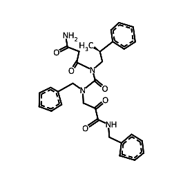 C[C@H](CN(C(=O)CC(N)=O)C(=O)N(CC(=O)C(=O)NCc1ccccc1)Cc1ccccc1)c1ccccc1